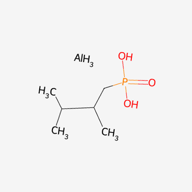 CC(C)C(C)CP(=O)(O)O.[AlH3]